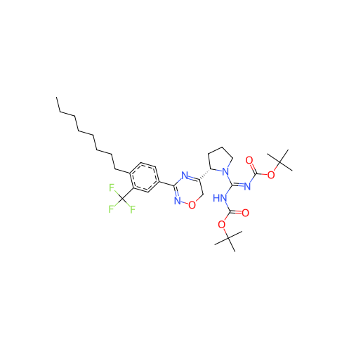 CCCCCCCCc1ccc(C2=NOCC([C@@H]3CCCN3/C(=N\C(=O)OC(C)(C)C)NC(=O)OC(C)(C)C)=N2)cc1C(F)(F)F